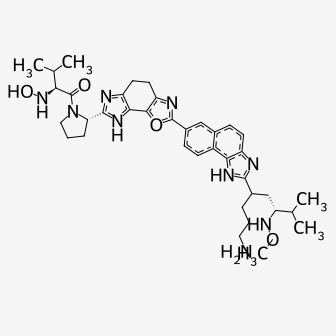 CON[C@H](CC(CCCN)c1nc2ccc3cc(-c4nc5c(o4)-c4[nH]c([C@@H]6CCCN6C(=O)[C@@H](NO)C(C)C)nc4CC5)ccc3c2[nH]1)C(C)C